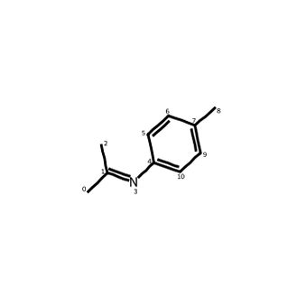 CC(C)=Nc1ccc(C)cc1